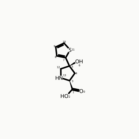 O=C(O)[C@@H]1C[C@@](O)(c2cccs2)CN1